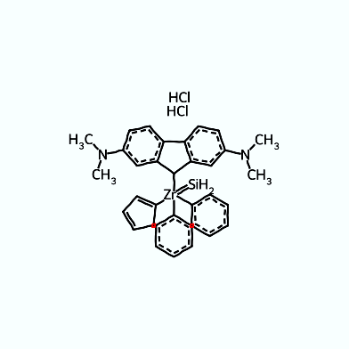 CN(C)c1ccc2c(c1)[CH]([Zr](=[SiH2])([C]1=CC=CC1)([c]1ccccc1)[c]1ccccc1)c1cc(N(C)C)ccc1-2.Cl.Cl